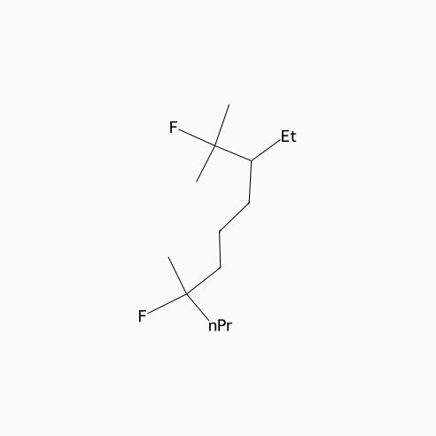 CCCC(C)(F)CCCC(CC)C(C)(C)F